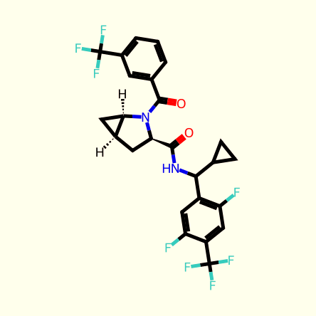 O=C(NC(c1cc(F)c(C(F)(F)F)cc1F)C1CC1)[C@H]1C[C@H]2C[C@H]2N1C(=O)c1cccc(C(F)(F)F)c1